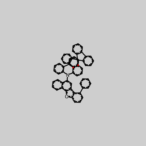 c1ccc(-c2ccccc2N(c2cccc3c2-c2ccccc2C32c3ccccc3-c3ccccc32)c2cc3c(oc4cccc(-c5ccccc5)c43)c3ccccc23)cc1